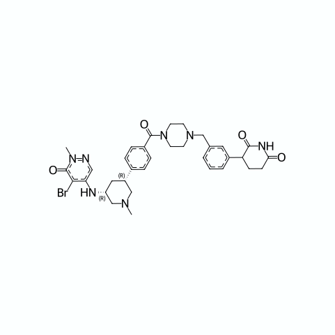 CN1C[C@H](Nc2cnn(C)c(=O)c2Br)C[C@H](c2ccc(C(=O)N3CCN(Cc4cccc(C5CCC(=O)NC5=O)c4)CC3)cc2)C1